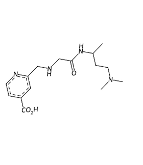 CC(CCN(C)C)NC(=O)CNCc1cc(C(=O)O)ccn1